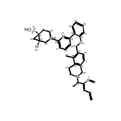 C=C/C=C(\N=C)C(C)N1CCc2c(ccc(COc3ccccc3-c3cccc(N4CC[C@@]5(C(=O)O)C[C@H]5C4)n3)c2C)C1